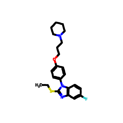 CCSc1nc2cc(F)ccc2n1-c1ccc(OCCCN2CCCCC2)cc1